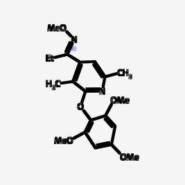 CC/C(=N\OC)c1cc(C)nc(Oc2c(OC)cc(OC)cc2OC)c1C